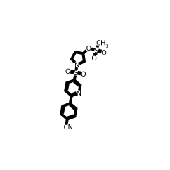 CS(=O)(=O)OC1CCN(S(=O)(=O)c2ccc(-c3ccc(C#N)cc3)nc2)C1